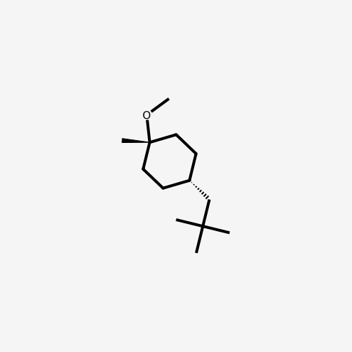 CO[C@]1(C)CC[C@H](CC(C)(C)C)CC1